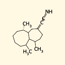 CC1CCCC[C@H](C)C2CC(=C=C=N)CCC(C)C12